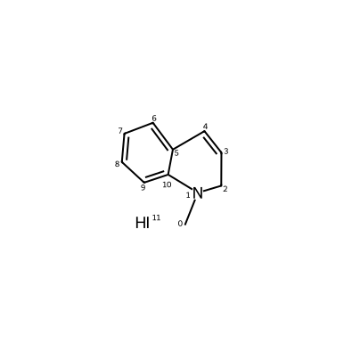 CN1CC=Cc2ccccc21.I